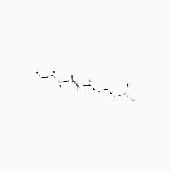 [CH2]C(C)CCCCC=CCCCC